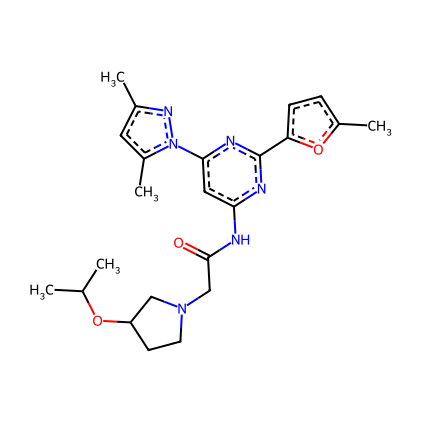 Cc1cc(C)n(-c2cc(NC(=O)CN3CCC(OC(C)C)C3)nc(-c3ccc(C)o3)n2)n1